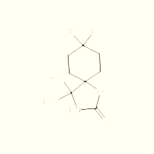 CC1(C)NC(=O)OC12CCC(F)(F)CC2